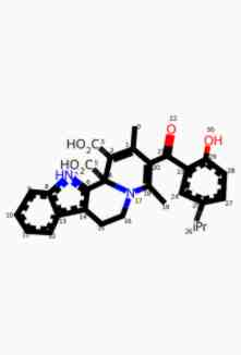 CC1=C(C(=O)O)C2(C(=O)O)c3[nH]c4ccccc4c3CCN2C(C)=C1C(=O)c1cc(C(C)C)ccc1O